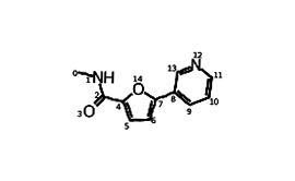 CNC(=O)c1ccc(-c2cccnc2)o1